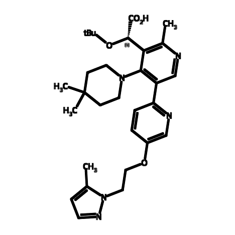 Cc1ncc(-c2ccc(OCCn3nccc3C)cn2)c(N2CCC(C)(C)CC2)c1[C@H](OC(C)(C)C)C(=O)O